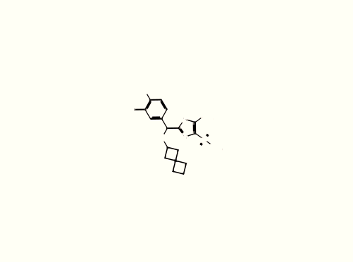 Cc1[nH]c(C(OC2CC3(CCC3)C2)c2ccc(F)c(Cl)c2)nc1S(C)(=O)=O